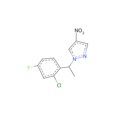 CC(c1ccc(F)cc1Cl)n1cc([N+](=O)[O-])cn1